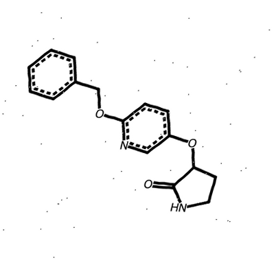 O=C1NCCC1Oc1ccc(OCc2ccccc2)nc1